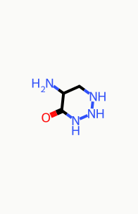 NC1CNNNC1=O